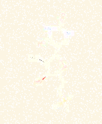 C=P(C)(C)CC[C@H]1OC(c2c[nH]c(=O)[nH]c2=O)[C@H](OC)[C@@H]1O